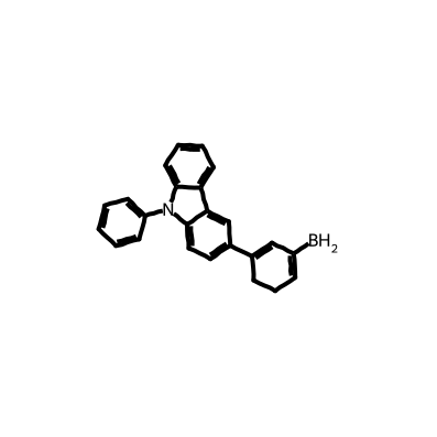 BC1=CCCC(c2ccc3c(c2)c2ccccc2n3-c2ccccc2)=C1